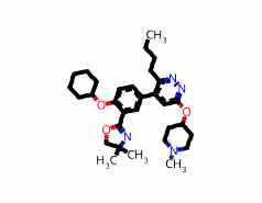 CCCCc1nnc(OC2CCN(C)CC2)cc1-c1ccc(OC2CCCCC2)c(C2=NC(C)(C)CO2)c1